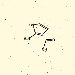 Nc1ccc[nH]1.O=CO